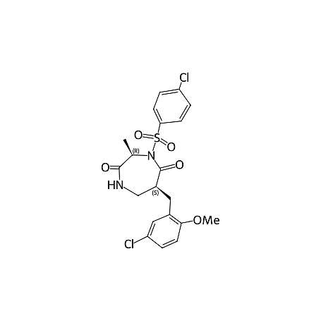 COc1ccc(Cl)cc1C[C@H]1CNC(=O)[C@@H](C)N(S(=O)(=O)c2ccc(Cl)cc2)C1=O